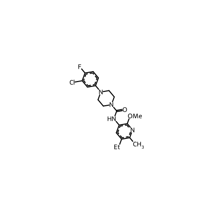 CCc1cc(NC(=O)N2CCN(c3ccc(F)c(Cl)c3)CC2)c(OC)nc1C